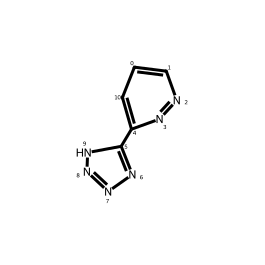 c1cnnc(-c2nnn[nH]2)c1